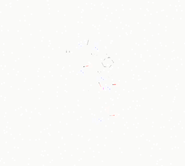 CC/C=C(\CNC=O)N(C)C(C(C)CC)C(CC(=O)N1CCCC1C(OC)C(C)C(=O)N[C@@H](Cc1ccccc1)C(=O)NCCCOC(=O)C(N)C(C)(C)C)OC